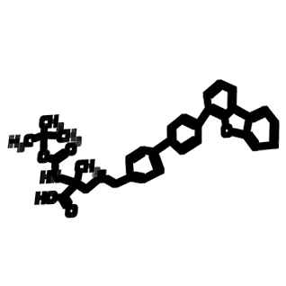 CC(C)(C)OC(=O)NC(C)(CSCc1ccc(-c2ccc(-c3cccc4c3oc3ccccc34)cc2)cc1)C(=O)O